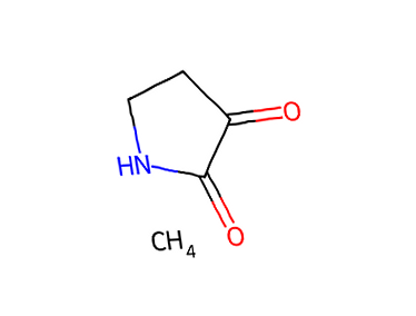 C.O=C1CCNC1=O